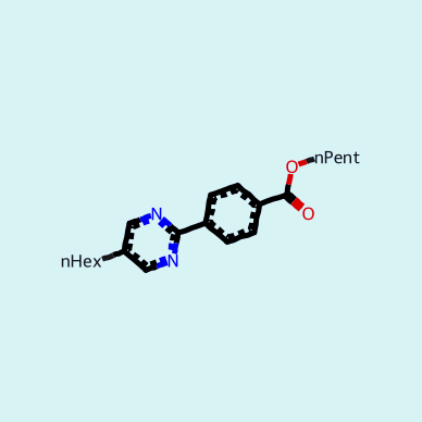 CCCCCCc1cnc(-c2ccc(C(=O)OCCCCC)cc2)nc1